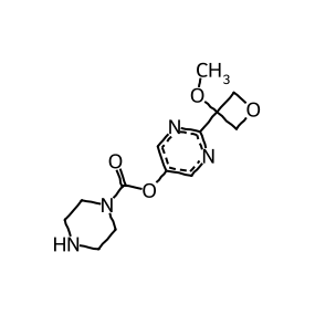 COC1(c2ncc(OC(=O)N3CCNCC3)cn2)COC1